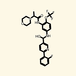 CC(C(=O)Nc1cc(NC(O)c2ccc(-c3ccccc3F)nc2)ccc1OC(F)(F)F)N1CCOCC1